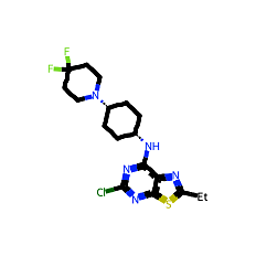 CCc1nc2c(N[C@H]3CC[C@@H](N4CCC(F)(F)CC4)CC3)nc(Cl)nc2s1